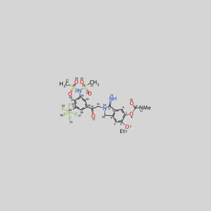 CCOc1cc2c(cc1OC(=O)NC)C(=N)N(CC(=O)c1cc(N(S(C)(=O)=O)S(C)(=O)=O)cc(S(F)(F)(F)(F)F)c1)C2